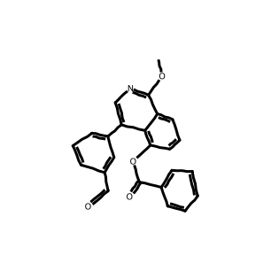 COc1ncc(-c2cccc(C=O)c2)c2c(OC(=O)c3ccccc3)cccc12